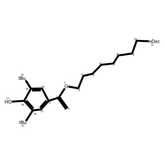 C=C(OCCCCCCCCCCCCCCCCCC)c1cc(C(C)(C)C)c(O)c(C(C)(C)C)c1